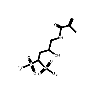 C=C(C)C(=O)NCC(O)CC(S(=O)(=O)C(F)(F)F)S(=O)(=O)C(F)(F)F